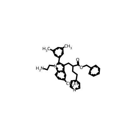 CCOC(=O)c1ccc2c(c1)c(CC(CCc1ccncc1)C(=O)OCc1ccccc1)c(-c1cc(C)cc(C)c1)n2CCN